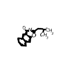 CC(C)Cc1nc(=O)c2cc3ccccc3cc2o1